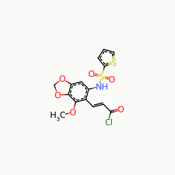 COc1c(/C=C/C(=O)Cl)c(NS(=O)(=O)c2cccs2)cc2c1OCO2